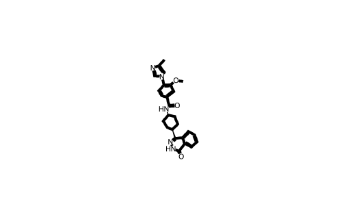 COc1cc(C(=O)N[C@H]2CC[C@H](c3n[nH]c(=O)c4ccccc43)CC2)ccc1-n1cnc(C)c1